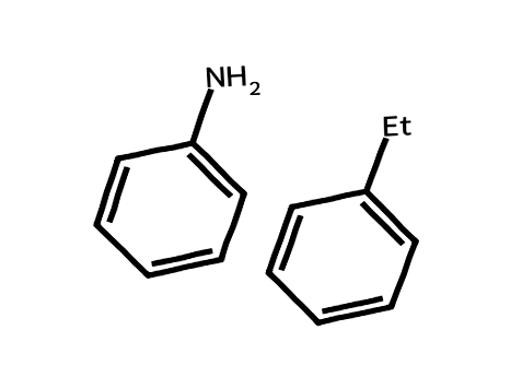 CCc1ccccc1.Nc1ccccc1